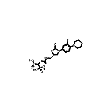 O=C1O[C@@H](CNC(=S)OC([PH](=O)O)P(=O)(O)O)CN1c1ccc(N2CCSCC2)c(F)c1